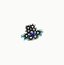 Fc1cc(-c2cc3ccccc3c3c2C[N+](C2CCCCC2)(C2CCCCC2)Cc2c(-c4cc(F)c(F)c(F)c4)cc4ccccc4c2-3)cc(F)c1F